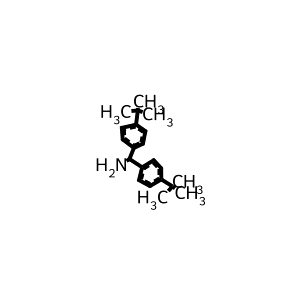 CC(C)(C)c1ccc(C(N)c2ccc(C(C)(C)C)cc2)cc1